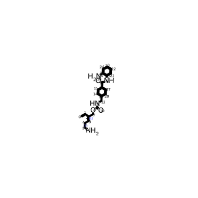 C=C/C(=C\C=C/N)COC(=O)NCc1ccc(C(=O)Nc2ccccc2N)cc1